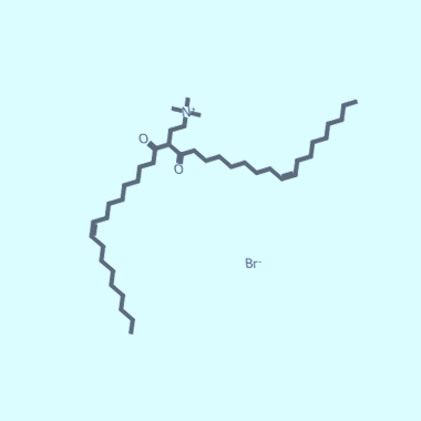 CCCCCCCC/C=C\CCCCCCCC(=O)C(CC[N+](C)(C)C)C(=O)CCCCCCC/C=C\CCCCCCCC.[Br-]